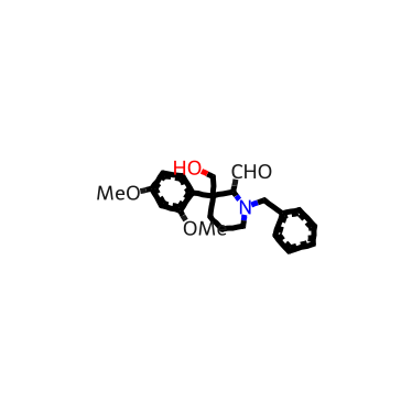 COc1ccc(C2(CO)CCCN(Cc3ccccc3)C2C=O)c(OC)c1